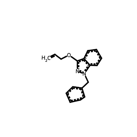 C=CCOc1nn(Cc2ccccc2)c2ccccc12